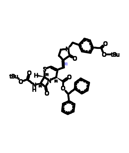 CC(C)(C)OC(=O)N[C@@H]1C(=O)N2[C@@H](C(=O)OC(c3ccccc3)c3ccccc3)C(/C=C3\CCN(Cc4ccc(C(=O)OC(C)(C)C)cc4)C3=O)=CS[C@H]12